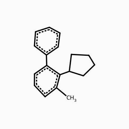 Cc1cccc(-c2ccccc2)c1C1CCCC1